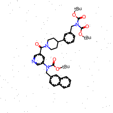 CC(C)(C)OC(=O)N(Cc1cccc(C2CCN(C(=O)c3cncc(N(Cc4ccc5ccccc5c4)C(=O)OC(C)(C)C)c3)CC2)c1)C(=O)OC(C)(C)C